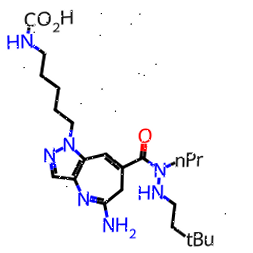 CCCN(NCCC(C)(C)C)C(=O)C1=Cc2c(cnn2CCCCCNC(=O)O)N=C(N)C1